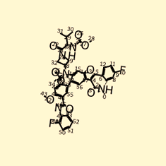 CNC(=O)c1c(-c2ccc(F)cc2)oc2cc(N(C3CN(C(=O)[C@@H](NC(=O)OC)C(C)C)C3)S(C)(=O)=O)c(-c3ccc(OC)c(-c4nc5c(F)cccc5o4)c3)cc12